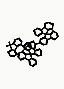 CC1(C)c2ccccc2-c2c(N(c3ccc(-c4ccc5c(c4)C4(c6ccccc6-c6ccccc64)c4ccccc4-5)cc3)c3cccc4c3C3(c5ccccc5-c5ccccc53)c3ccccc3-4)cccc21